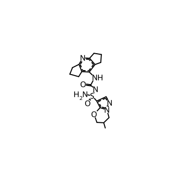 CC1COc2c(S(N)(=O)=NC(=O)Nc3c4c(nc5c3CCC5)CCC4)cnn2C1